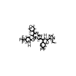 CCn1ncnc1C(=O)N[C@H](c1cn2nc(C[C@H]3C[C@@H](C(F)(F)F)CNC3=O)c(C3CCOCC3)nc2n1)C1CCC(F)(F)CC1